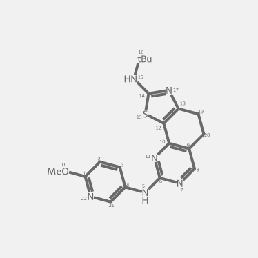 COc1ccc(Nc2ncc3c(n2)-c2sc(NC(C)(C)C)nc2CC3)cn1